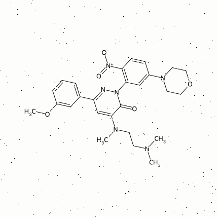 COc1cccc(-c2cc(N(C)CCN(C)C)c(=O)n(-c3cc(N4CCOCC4)ccc3[N+](=O)[O-])n2)c1